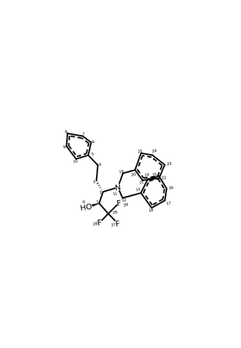 O[C@@H]([C@H](CCc1ccccc1)N(Cc1ccccc1)Cc1ccccc1)C(F)(F)F